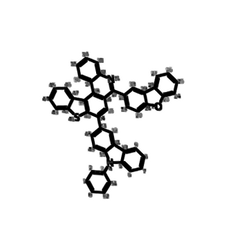 c1ccc(-n2c3ccccc3c3cc(-c4cc5c(-c6ccc7oc8ccccc8c7c6)nc6ccccc6c5c5c4sc4ccccc45)ccc32)cc1